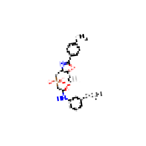 CCOC(=O)c1cccc(NC(=O)CS(=O)(=O)Cc2nc(-c3ccc(C)cc3)oc2C)c1